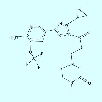 C=C(CCN1CCN(C)C(=O)C1)n1cc(-c2cnc(N)c(OC(F)(F)F)c2)nc1C1CC1